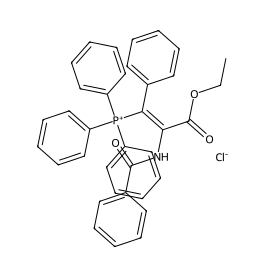 CCOC(=O)C(NC(=O)c1ccccc1)=C(c1ccccc1)[P+](c1ccccc1)(c1ccccc1)c1ccccc1.[Cl-]